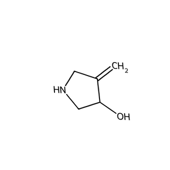 C=C1CNCC1O